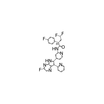 O=C(Nc1cc(-c2[nH]c3nc(F)cnc3c2-c2ccccn2)ccn1)[C@H](CC(F)F)c1ccc(F)cc1